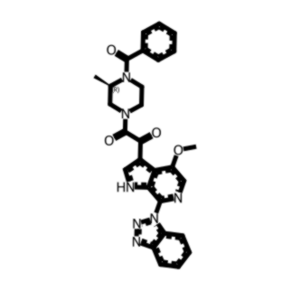 COc1cnc(-n2nnc3ccccc32)c2[nH]cc(C(=O)C(=O)N3CCN(C(=O)c4ccccc4)[C@H](C)C3)c12